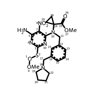 COOSc1nc(N)c([N+](=O)[O-])c(N(Cc2cccc(CN3CCCC3)c2)C2(C(=O)OC)CC2)n1